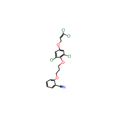 N#Cc1ccccc1OCCCOc1c(Cl)cc(OCC=C(Cl)Cl)cc1Cl